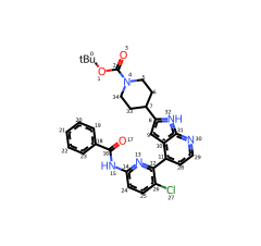 CC(C)(C)OC(=O)N1CCC(c2cc3c(-c4nc(NC(=O)c5ccccc5)ccc4Cl)ccnc3[nH]2)CC1